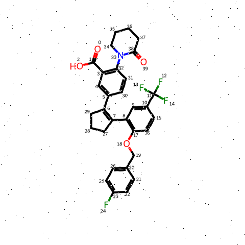 O=C(O)c1cc(C2=C(c3cc(C(F)(F)F)ccc3OCc3ccc(F)cc3)CCC2)ccc1N1CCCCC1=O